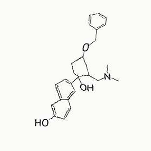 CN(C)CC1CC(OCc2ccccc2)CCC1(O)c1ccc2cc(O)ccc2c1